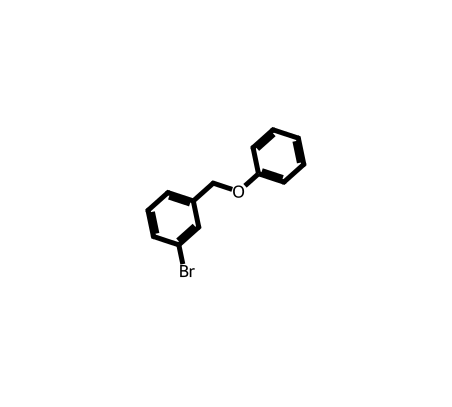 Brc1cccc(COc2ccccc2)c1